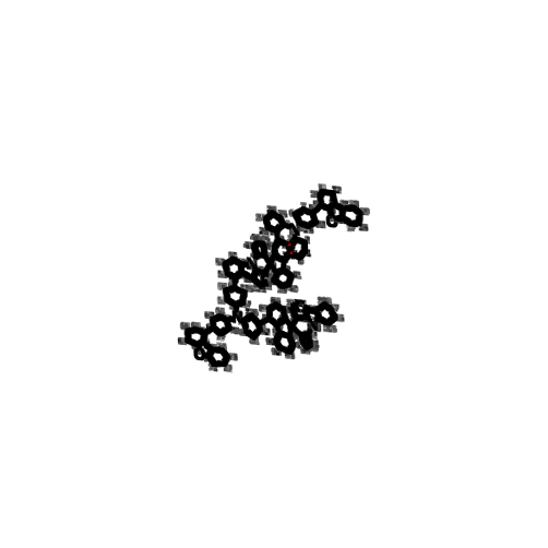 c1ccc(N(c2ccc(-c3cccc4c3oc3ccccc34)cc2)c2ccccc2-c2ccc3c(c2)C2(c4ccccc4-3)c3ccccc3-n3c4cccc(-c5ccc(N(c6ccc(-c7cccc8oc9ccccc9c78)cc6)c6cccc(-c7cccc8c7-c7ccccc7C87c8ccccc8-n8c9ccccc9c9cccc7c98)c6)cc5)c4c4cccc2c43)cc1